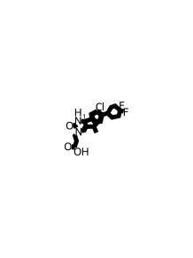 CC(C)C1=CN(CCC(=O)O)C(=O)N[C@@]1(C)c1ccc(C2CCC(F)(F)CC2)c(Cl)c1